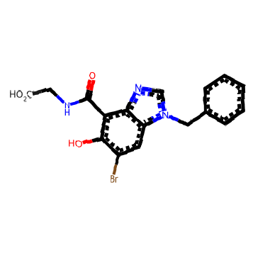 O=C(O)CNC(=O)c1c(O)c(Br)cc2c1ncn2Cc1ccccc1